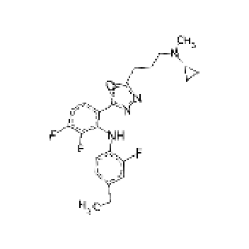 CCc1ccc(Nc2c(-c3nnc(CCCN(C)C4CC4)o3)ccc(F)c2F)c(F)c1